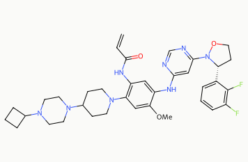 C=CC(=O)Nc1cc(Nc2cc(N3OCC[C@@H]3c3cccc(F)c3F)ncn2)c(OC)cc1N1CCC(N2CCN(C3CCC3)CC2)CC1